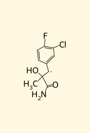 CC(O)([CH]c1ccc(F)c(Cl)c1)C(N)=O